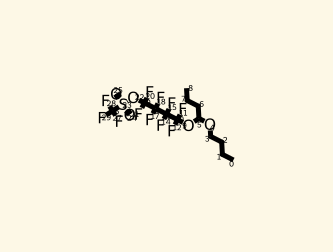 CCCCOC(CCC)OC(F)(F)C(F)(F)C(F)(F)C(F)(F)OS(=O)(=O)C(F)(F)F